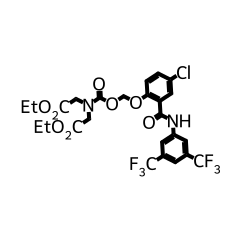 CCOC(=O)CN(CC(=O)OCC)C(=O)OCOc1ccc(Cl)cc1C(=O)Nc1cc(C(F)(F)F)cc(C(F)(F)F)c1